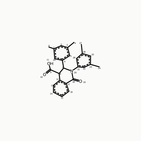 Cc1cc(C)cc(C2C(C(=O)O)c3ccccc3C(=O)N2c2cc(C)cc(C)c2)c1